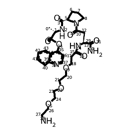 C[C@H](NC(=O)[C@@H]1CCCN1C(=O)C[C@H](NC(=O)CCOCCOCCOCCN)C(N)=O)C(=O)Oc1ccnc2ccccc12